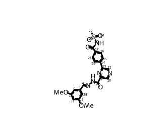 COc1cc(/C=N/NC(=O)c2cncc(-c3ccc(C(=O)NS(C)(=O)=O)cc3)n2)cc(OC)c1